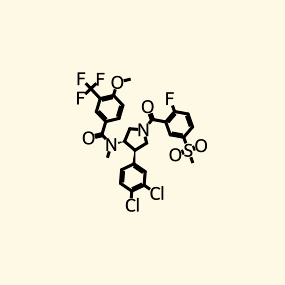 COc1ccc(C(=O)N(C)[C@@H]2CN(C(=O)c3cc(S(C)(=O)=O)ccc3F)C[C@H]2c2ccc(Cl)c(Cl)c2)cc1C(F)(F)F